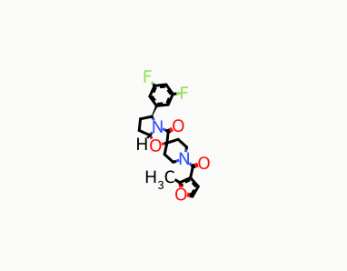 Cc1occc1C(=O)N1CCC2(CC1)O[C@@H]1CC[C@@H](c3cc(F)cc(F)c3)N1C2=O